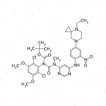 CCN1CCN(c2ccc(Nc3cc(N(C)C(=O)N(C(=O)OC(C)(C)C)c4c(Cl)c(OC)cc(OC)c4Cl)ncn3)c([N+](=O)[O-])c2)CC12CC2